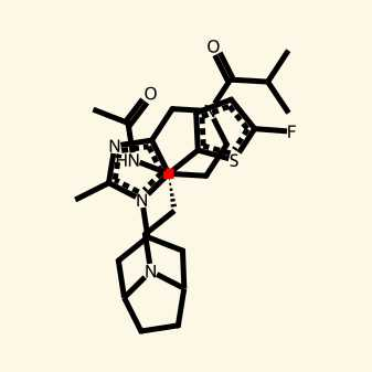 CC(=O)N[C@@H](CCN1C2CCC1CC(n1c(C)nc3c1CCN(C(=O)C(C)C)C3)C2)c1ccc(F)s1